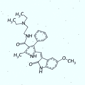 CCN(CC)CCNC(=O)c1c(C)[nH]c(C=C2C(=O)Nc3ccc(OC)cc32)c1-c1ccccc1